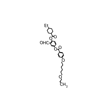 C=CCOCCCCCCOc1ccc(C(=O)Oc2ccc(OC(=O)C3CCC(CC)CC3)c(C=O)c2)cc1